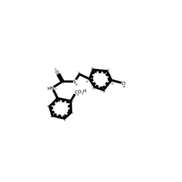 O=C(Nc1ccccc1C(=O)O)SCc1ccc(Cl)cc1